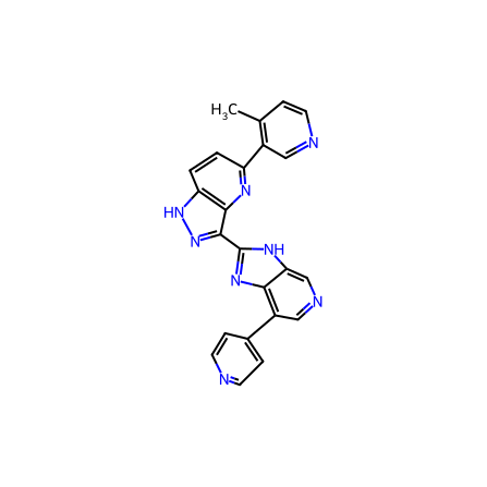 Cc1ccncc1-c1ccc2[nH]nc(-c3nc4c(-c5ccncc5)cncc4[nH]3)c2n1